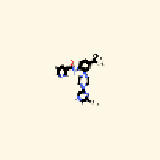 Cc1cncc(N2CCN(c3cc(C(C)C)ccc3NC(=O)c3cccnc3)CC2)n1